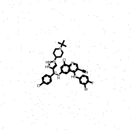 CC(C)(C)N1CCC(N2C=C([C@@H](Nc3cc(Cl)c4ncc(C#N)c(Nc5ccc(F)c(Br)c5)c4c3)c3ccc(Cl)cc3)NN2)CC1